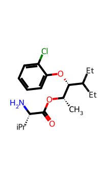 CCC(CC)[C@@H](Oc1ccccc1Cl)[C@H](C)OC(=O)[C@@H](N)C(C)C